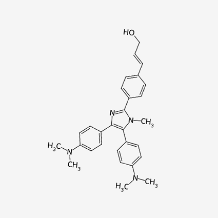 CN(C)c1ccc(-c2nc(-c3ccc(/C=C/CO)cc3)n(C)c2-c2ccc(N(C)C)cc2)cc1